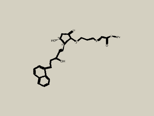 CC(C)OC(=O)CSCCCSC1C(=O)C[C@@H](O)[C@@H]1C=CC(O)CCc1cccc2ccccc12